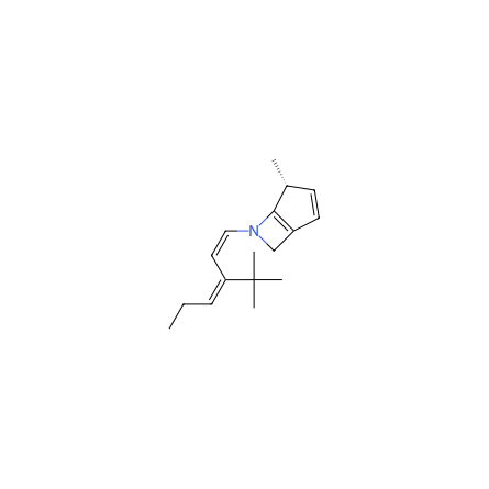 CC/C=C(\C=C/N1CC2=C1[C@H](C)C=C2)C(C)(C)C